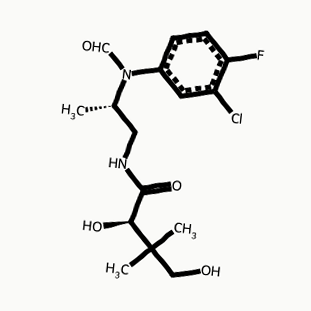 C[C@@H](CNC(=O)[C@H](O)C(C)(C)CO)N(C=O)c1ccc(F)c(Cl)c1